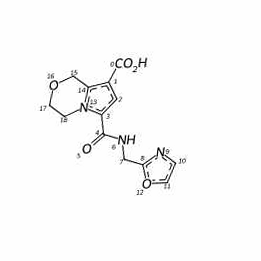 O=C(O)c1cc(C(=O)NCc2ncco2)n2c1COCC2